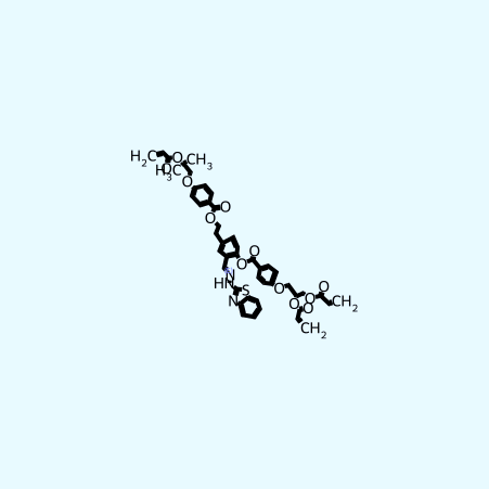 C=CC(=O)OCC(COc1ccc(C(=O)Oc2ccc(CCOC(=O)c3ccc(OCC(C)(C)OC(=O)C=C)cc3)cc2/C=N/Nc2nc3ccccc3s2)cc1)OC(=O)C=C